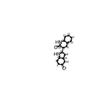 [O]c1ccc2[nH]c(-c3cc4ccccc4[nH]c3=O)cc2c1